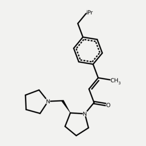 C/C(=C\C(=O)N1CCC[C@H]1CN1CCCC1)c1ccc(CC(C)C)cc1